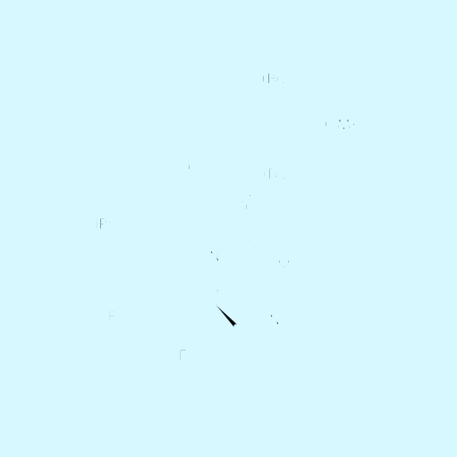 COc1cc(C(=O)N2[C@@H](c3nccs3)[C@H](C(C)(F)F)C[C@@]2(CC(C)C)C(=O)OC(C)(C)C)ccc1C(C)(C)C